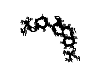 [2H]C([2H])([2H])Oc1cccc(-n2nc3c4ccc(OC([2H])([2H])[2H])cc4[nH]cc-3c2=O)c1